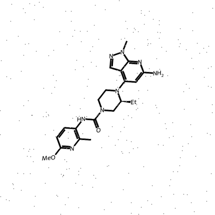 CC[C@H]1CN(C(=O)Nc2ccc(OC)nc2C)CCN1c1cc(N)nc2c1cnn2C